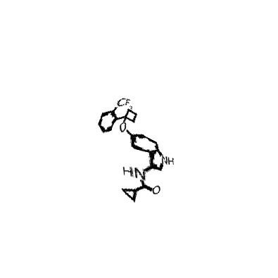 O=C(Nc1c[nH]c2ccc(OC3(c4ccccc4C(F)(F)F)CCC3)cc12)C1CC1